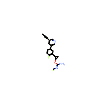 CC#Cc1cncc(-c2ccc(F)c(C3C[C@H]3O/C(N)=N\CF)c2)c1